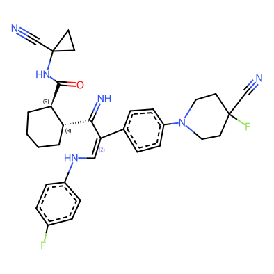 N#CC1(F)CCN(c2ccc(/C(=C/Nc3ccc(F)cc3)C(=N)[C@@H]3CCCC[C@H]3C(=O)NC3(C#N)CC3)cc2)CC1